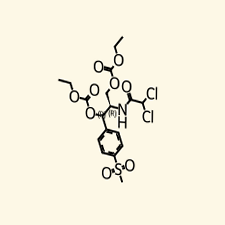 CCOC(=O)OC[C@@H](NC(=O)C(Cl)Cl)[C@H](OC(=O)OCC)c1ccc(S(C)(=O)=O)cc1